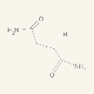 NC(=O)CCC(N)=O.[H+]